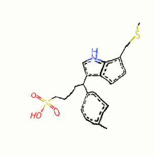 CSCc1cccc2c(C(CCCS(=O)(=O)O)c3ccc(C)cc3)c[nH]c12